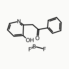 F[B]F.O=C(Cc1ncccc1O)c1ccccc1